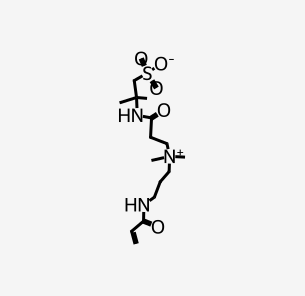 C=CC(=O)NCCC[N+](C)(C)CCC(=O)NC(C)(C)CS(=O)(=O)[O-]